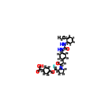 Cc1ccccc1NC(=O)Nc1ccc(CC(=O)N2CCC[C@H]2C(F)Oc2ccc(C(=O)O)cc2)cc1